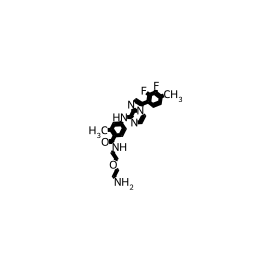 Cc1cc(Nc2nccn3c(-c4ccc(C)c(F)c4F)cnc23)ccc1C(=O)NCCOCCN